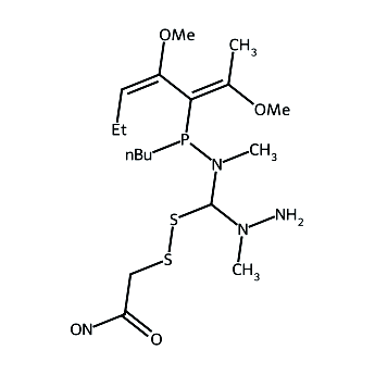 CC/C=C(OC)\C(=C(/C)OC)P(CCCC)N(C)C(SSCC(=O)N=O)N(C)N